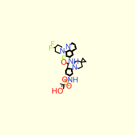 C[C@H](CO)S(=O)(=O)Nc1ccc(C(=O)Nc2cc3cccnc3c(N3CCC(F)(F)CC3)c2F)c(N2CCC3(CC2)CC3)c1